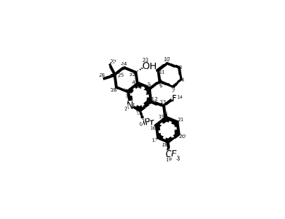 CC(C)c1nc2c(c(C3CCCCC3)c1C(F)c1ccc(C(F)(F)F)cc1)[C@@H](O)CC(C)(C)C2